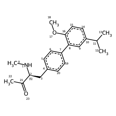 CN[C@@H](Cc1ccc(-c2cc(C(C)C)ccc2OC)cc1)C(C)=O